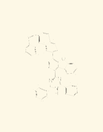 c1ccc(C2=NC(c3ccc(-c4ccc5ccc6ccc7ccccc7c6c5c4)c4oc5ccccc5c34)=NC(c3ccccc3)N2)cc1